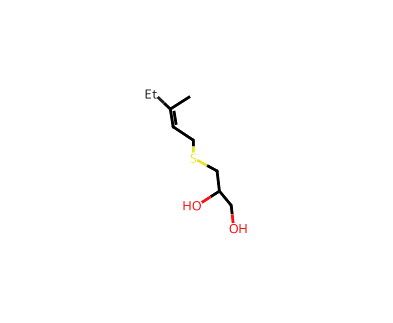 CC/C(C)=C/CSCC(O)CO